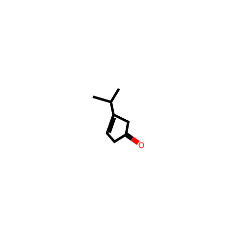 CC(C)C1=CCC(=O)C1